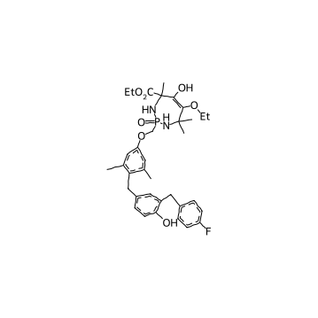 CCOC(=O)C1(C)NP(=O)(COc2cc(C)c(Cc3ccc(O)c(Cc4ccc(F)cc4)c3)c(C)c2)NC(C)(C)C(OCC)=C1O